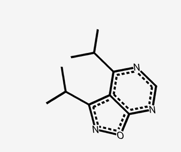 CC(C)c1ncnc2onc(C(C)C)c12